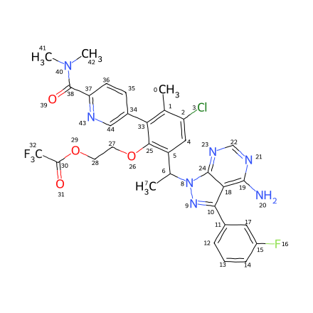 Cc1c(Cl)cc(C(C)n2nc(-c3cccc(F)c3)c3c(N)ncnc32)c(OCCOC(=O)C(F)(F)F)c1-c1ccc(C(=O)N(C)C)nc1